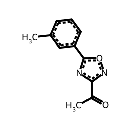 CC(=O)c1noc(-c2cccc(C)c2)n1